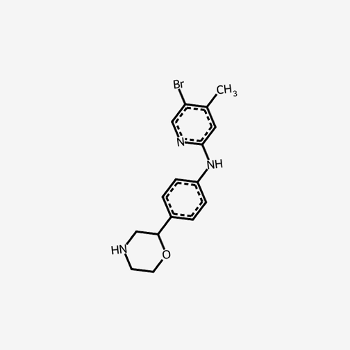 Cc1cc(Nc2ccc(C3CNCCO3)cc2)ncc1Br